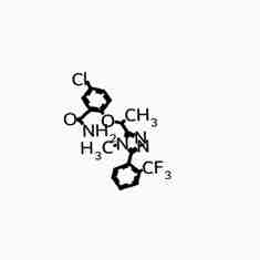 CC(Oc1ccc(Cl)cc1C(N)=O)c1nnc(-c2ccccc2C(F)(F)F)n1C